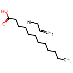 C=C[CH2][Ni].CCCCCCCCCCCC(=O)O